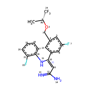 C[C@@H](OCc1cc(F)cc(/C(=C/C(=N)N)Nc2ccccc2F)c1)C(F)(F)F